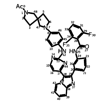 CC(=O)N1CCC2(CCN(c3ccc(Nc4nccc(-c5c(-c6cccc(NC(=O)c7c(F)cccc7F)c6)nc6ccccn56)n4)cc3)C2)C1